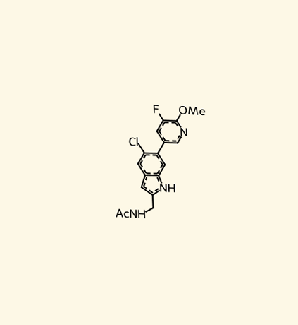 COc1ncc(-c2cc3[nH]c(CNC(C)=O)cc3cc2Cl)cc1F